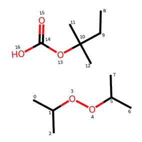 CC(C)OOC(C)C.CCC(C)(C)OC(=O)O